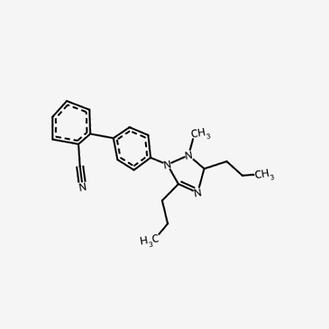 CCCC1=NC(CCC)N(C)N1c1ccc(-c2ccccc2C#N)cc1